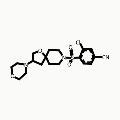 N#Cc1ccc(S(=O)(=O)N2CCC3(CC2)CC(N2CCOCC2)CO3)c(Cl)c1